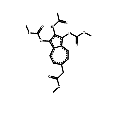 COC(=O)Cc1ccc2c(OC(=O)OC)c(NC(C)=O)c(OC(=O)OC)c-2cc1